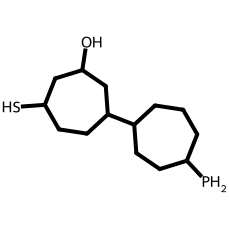 OC1CC(S)CCC(C2CCCC(P)CC2)C1